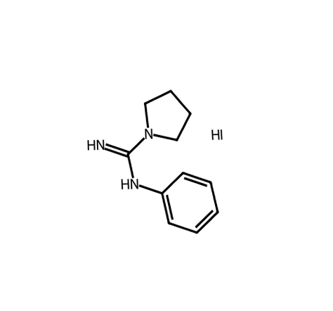 I.N=C(Nc1ccccc1)N1CCCC1